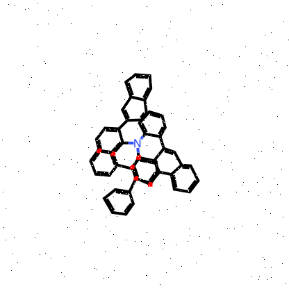 c1ccc(-c2cccc(N(c3ccccc3-c3ccc4ccccc4c3)c3ccccc3-c3cc4ccccc4c4ccccc34)c2-c2ccccc2)cc1